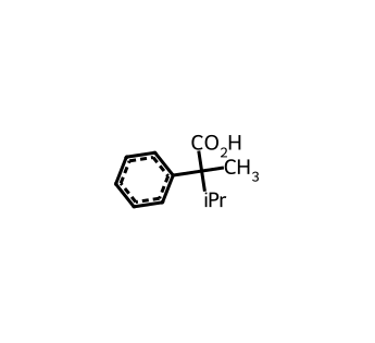 CC(C)C(C)(C(=O)O)c1ccccc1